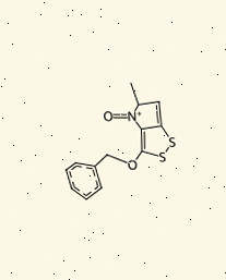 CC1C=C2SSC(OCc3ccccc3)=C2[N+]1=O